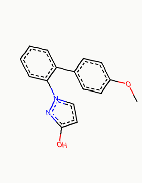 COc1ccc(-c2ccccc2-n2ccc(O)n2)cc1